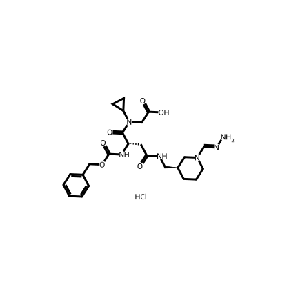 Cl.NN=CN1CCC[C@@H](CNC(=O)C[C@H](NC(=O)OCc2ccccc2)C(=O)N(CC(=O)O)C2CC2)C1